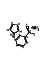 CC(=O)c1ccccc1.N.c1cc[nH]c1